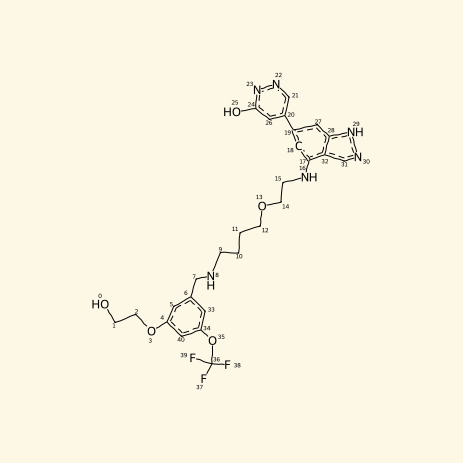 OCCOc1cc(CNCCCCOCCNc2cc(-c3cnnc(O)c3)cc3[nH]ncc23)cc(OC(F)(F)F)c1